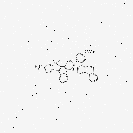 COc1ccc(C2(c3ccc4c(ccc5ccccc54)c3)C=Cc3c4c(c5ccccc5c3O2)-c2ccc(C(F)(F)F)cc2C4(C)C)cc1